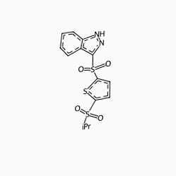 CC(C)S(=O)(=O)c1ccc(S(=O)(=O)c2n[nH]c3ccccc23)s1